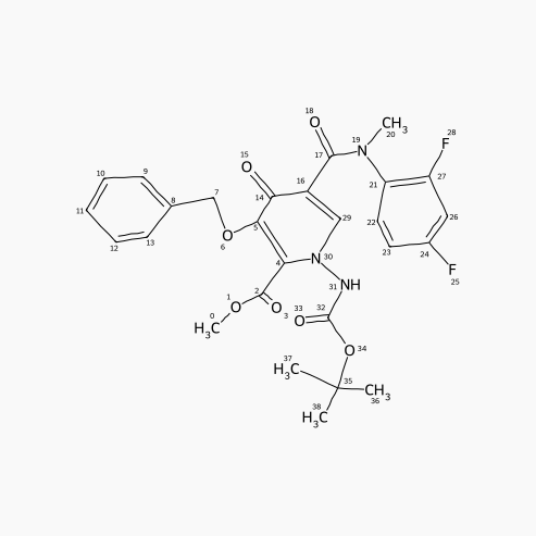 COC(=O)c1c(OCc2ccccc2)c(=O)c(C(=O)N(C)c2ccc(F)cc2F)cn1NC(=O)OC(C)(C)C